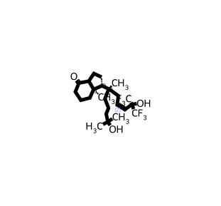 CC(C)(O)CCC[C@@](C)(C/C=C\C(O)(C(F)(F)F)C(F)(F)F)[C@H]1CCC2C(=O)CCC[C@@]21C